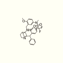 COc1ccc(N(C)S(=O)(=O)C(F)(F)F)cc1CNC1C2CCN(CC2)C1C(c1ccccc1)c1ccccc1